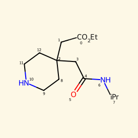 CCOC(=O)CC1(CC(=O)NC(C)C)CCNCC1